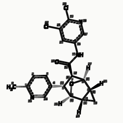 Cc1ccc([C@H]2[C@H]3O[C@H]([C@@H]4C[C@@H]43)[C@@H]2C(=O)Nc2cnc(Cl)c(Cl)c2)cn1